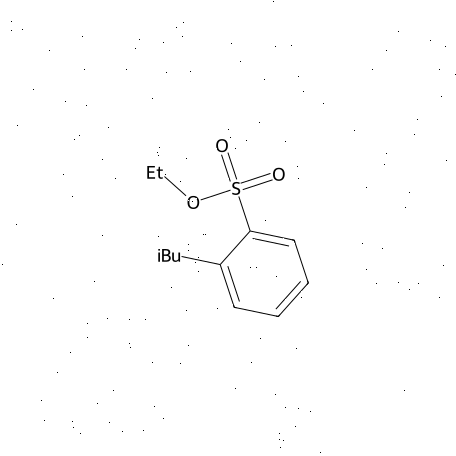 CCOS(=O)(=O)c1ccccc1C(C)CC